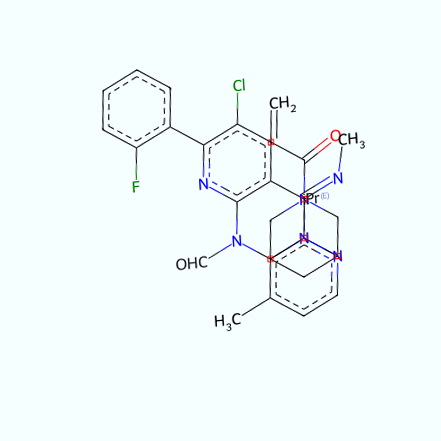 C=CC(=O)N1CC2CC(C1)N2/C(=N/C)c1cc(Cl)c(-c2ccccc2F)nc1N(C=O)c1c(C)ccnc1C(C)C